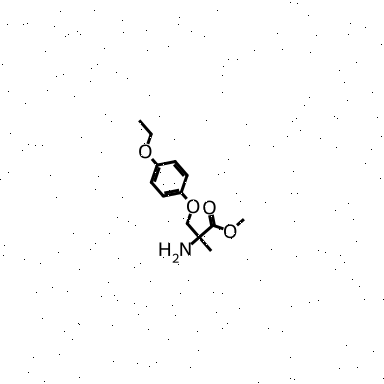 CCOc1ccc(OCC(C)(N)C(=O)OC)cc1